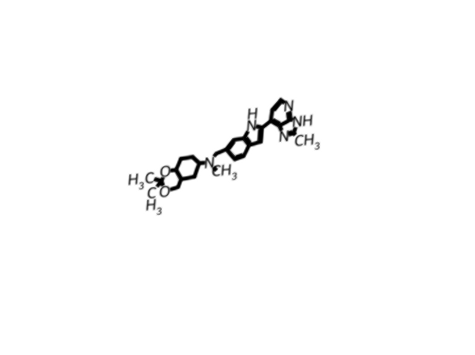 Cc1nc2c(-c3cc4ccc(CN(C)C5CCC6OC(C)(C)OCC6C5)cc4[nH]3)ccnc2[nH]1